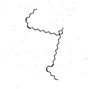 CCCCC/C=C\C/C=C\CCCCCCCCCCC1(CCCCCCCCCC/C=C\C/C=C\CCCCC)CN(C)C1